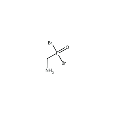 NCP(=O)(Br)Br